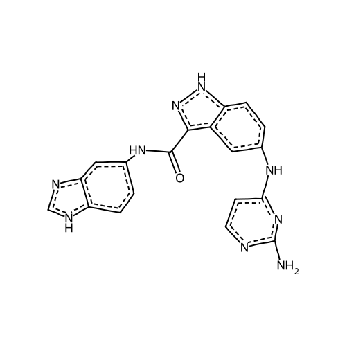 Nc1nccc(Nc2ccc3[nH]nc(C(=O)Nc4ccc5[nH]cnc5c4)c3c2)n1